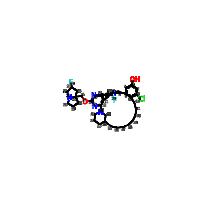 Oc1cc(Cl)c2c(c1)-c1ncc3c(nc(OCC45CCCN4CC(F)C5)nc3c1F)N1CCCC(CCCCCCCC2)C1